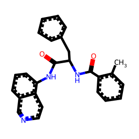 Cc1ccccc1C(=O)NC(Cc1ccccc1)C(=O)Nc1cccc2cnccc12